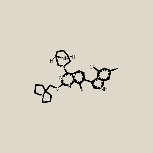 Fc1cc(Cl)c2c(-c3ccc4c(N5C[C@H]6CC[C@@H](C5)N6)nc(OCC56CCCN5CCC6)nc4c3F)c[nH]c2c1